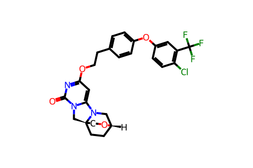 O=c1nc(OCCc2ccc(Oc3ccc(Cl)c(C(F)(F)F)c3)cc2)cc2n1C[C@@]13CC[C@@H](CN21)OC3